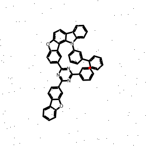 c1ccc(-c2cccc(-n3c4ccccc4c4ccc5oc6ccc(-c7nc(-c8ccccc8)nc(-c8ccc9c(c8)oc8ccccc89)n7)cc6c5c43)c2)cc1